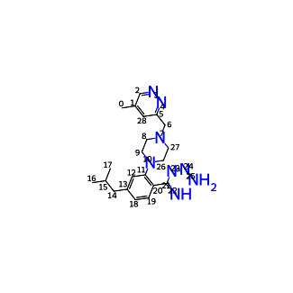 Cc1cnnc(CN2CCN(c3cc(CC(C)C)ccc3C(=N)/N=N\N)CC2)c1